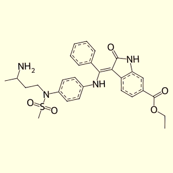 CCOC(=O)c1ccc2c(c1)NC(=O)C2=C(Nc1ccc(N(CCC(C)N)S(C)(=O)=O)cc1)c1ccccc1